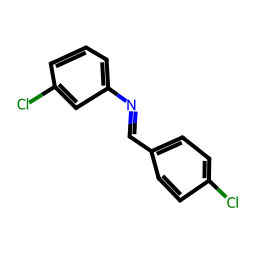 Clc1ccc(C=Nc2cccc(Cl)c2)cc1